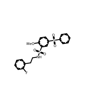 COc1ccc(S(=O)(=O)c2ccccc2)cc1S(=O)(=O)NCCc1ccccc1F